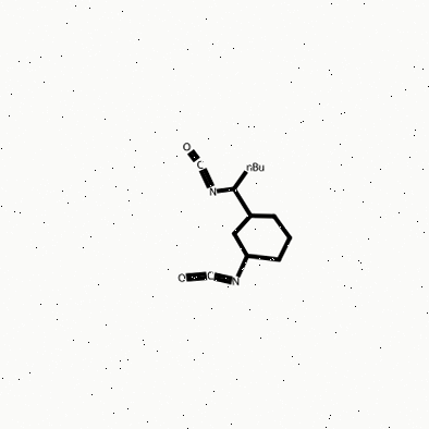 CCCCC(N=C=O)C1CCCC(N=C=O)C1